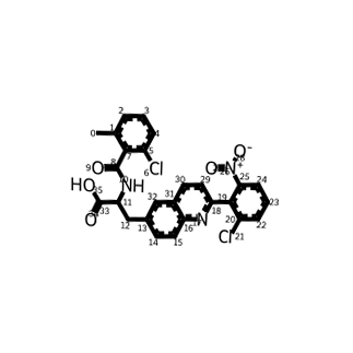 Cc1cccc(Cl)c1C(=O)NC(Cc1ccc2nc(-c3c(Cl)cccc3[N+](=O)[O-])ccc2c1)C(=O)O